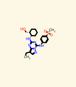 CCc1cnn2c(Nc3ccc(S(C)(=O)=O)cc3)nc(N[C@H]3CCCC[C@H]3CO)nc12